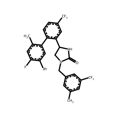 Cc1cc(CN2CC(c3cc(C(F)(F)F)ccc3-c3cc(C(C)C)c(F)cc3C)NC2=O)cc(C(F)(F)F)c1